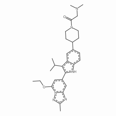 CCOc1cc(-c2[nH]c3ccc(C4CCN(C(=O)CN(C)C)CC4)cc3c2C(C)C)cc2nc(C)nn12